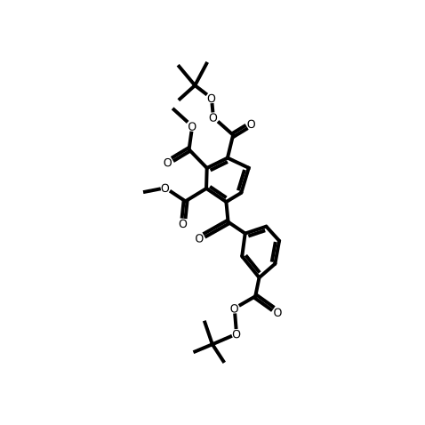 COC(=O)c1c(C(=O)OOC(C)(C)C)ccc(C(=O)c2cccc(C(=O)OOC(C)(C)C)c2)c1C(=O)OC